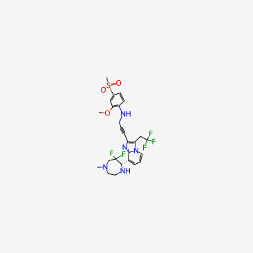 COc1cc(S(C)(=O)=O)ccc1NCC#Cc1nc2c([C@@H]3NCCN(C)CC3(F)F)cccn2c1CC(F)(F)F